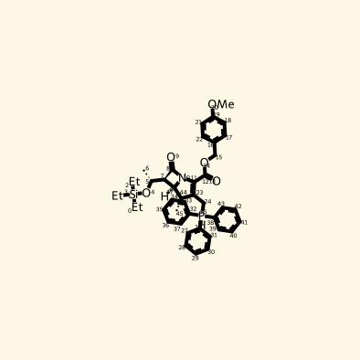 CC[Si](CC)(CC)O[C@H](C)[C@H]1C(=O)N2C(C(=O)OCc3ccc(OC)cc3)=C(C[PH](c3ccccc3)(c3ccccc3)c3ccccc3)[C@H](C)[C@@H]12